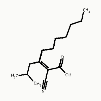 CCCCCCCC(CC(C)C)=C(C#N)C(=O)O